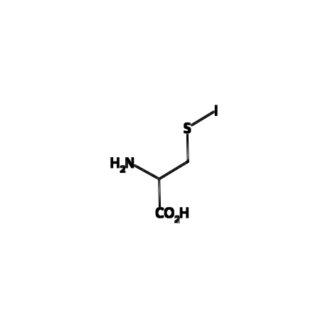 NC(CSI)C(=O)O